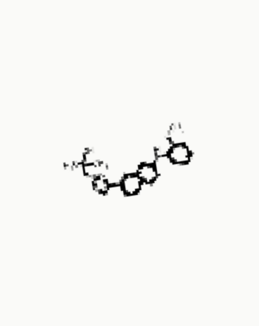 COc1c[c]ccc1Nc1cc2cc(-c3cnn(CC(C)(C)O)n3)ccc2cn1